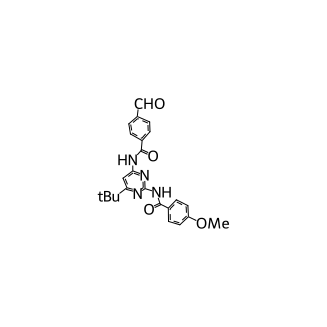 COc1ccc(C(=O)Nc2nc(NC(=O)c3ccc(C=O)cc3)cc(C(C)(C)C)n2)cc1